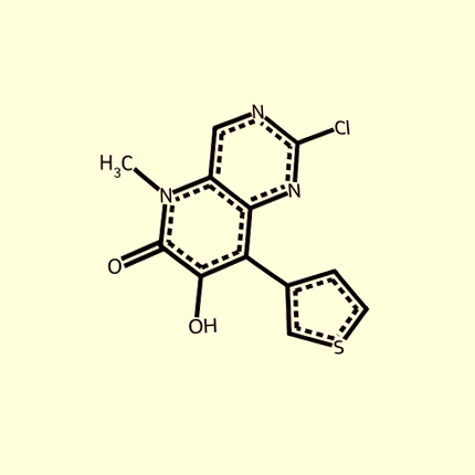 Cn1c(=O)c(O)c(-c2ccsc2)c2nc(Cl)ncc21